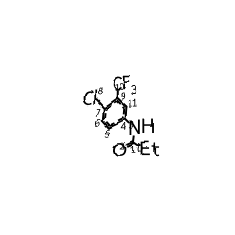 CCC(=O)Nc1ccc(Cl)c(C(F)(F)F)c1